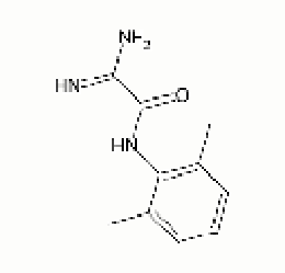 Cc1cccc(C)c1NC(=O)C(=N)N